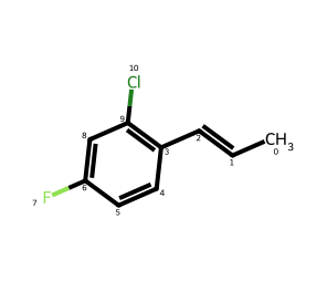 CC=Cc1ccc(F)cc1Cl